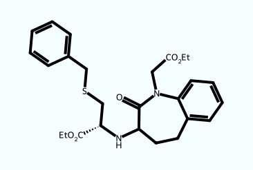 CCOC(=O)CN1C(=O)C(N[C@@H](CSCc2ccccc2)C(=O)OCC)CCc2ccccc21